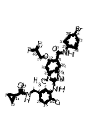 Cn1c(Nc2cc(CNC(=O)C3CC3)ccc2Cl)nc2cc(C(=O)Nc3ccc(Br)cc3)c(OCC(F)F)cc21